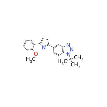 COc1ccccc1C1=CCC(c2ccc3c(c2)nnn3C(C)(C)C)=N1